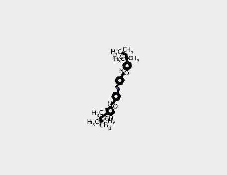 CC(C)(C)CC(C)(C)c1ccc2oc(-c3ccc(/C=C/c4ccc(-c5nc6cc(C(C)(C)CC(C)(C)C)ccc6o5)cc4)cc3)nc2c1